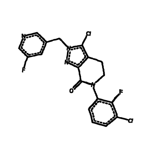 O=C1c2nn(Cc3cncc(F)c3)c(Cl)c2CCN1c1cccc(Cl)c1F